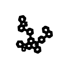 c1cc(-c2cccc(N(c3ccc(-c4cccc5ccccc45)cc3)c3ccccc3-c3ccc4c(c3)oc3ccccc34)c2)cc(-c2cccc3c2sc2ccccc23)c1